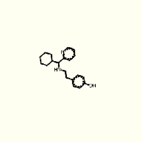 Oc1ccc(CCNC(c2ccccn2)C2CCCCC2)cc1